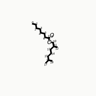 CCCCCCCC(=O)OCC(C)CCCC(C)C